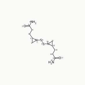 NC(=O)CCC1CN1SSN1CC1CCC(N)=O